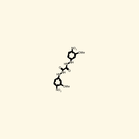 COc1cc(NNC(=O)C(=O)NNc2ccc([N+](=O)[O-])c(OC)c2)ccc1[N+](=O)[O-]